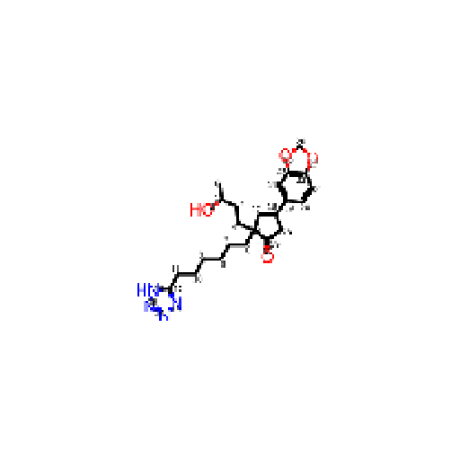 CC(O)CCC1(CCCCCCc2nnn[nH]2)CC(c2ccc3c(c2)OCO3)CC1=O